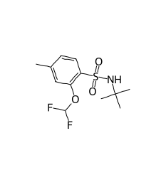 Cc1ccc(S(=O)(=O)NC(C)(C)C)c(OC(F)F)c1